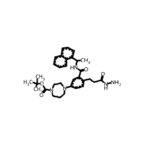 CC(NC(=O)c1cc(N2CCCN(C(=O)OC(C)(C)C)CC2)ccc1CCC(=O)NN)c1cccc2ccccc12